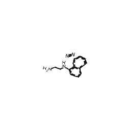 N#N.NCCNc1cccc2ccccc12